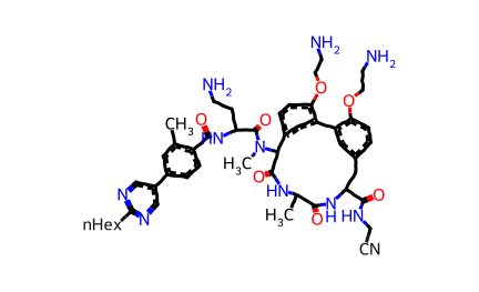 CCCCCCc1ncc(-c2ccc(C(=O)NC(CCN)C(=O)N(C)C3C(=O)NC(C)C(=O)NC(C(=O)NCC#N)Cc4ccc(OCCN)c(c4)-c4cc3ccc4OCCN)c(C)c2)cn1